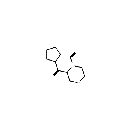 O=[C]N1CCNCC1C(=O)C1CCCC1